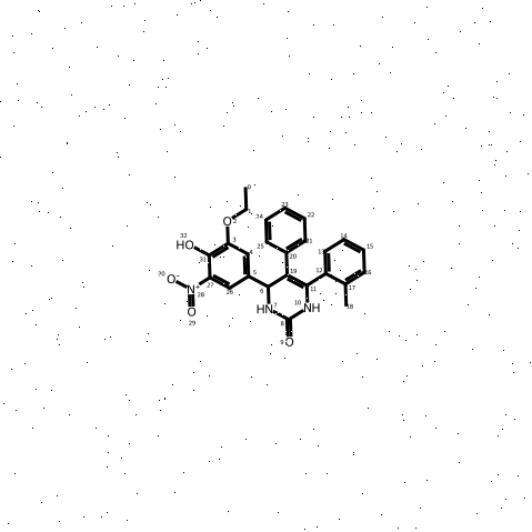 CCOc1cc(C2NC(=O)NC(c3ccccc3C)=C2c2ccccc2)cc([N+](=O)[O-])c1O